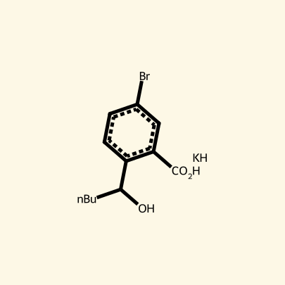 CCCCC(O)c1ccc(Br)cc1C(=O)O.[KH]